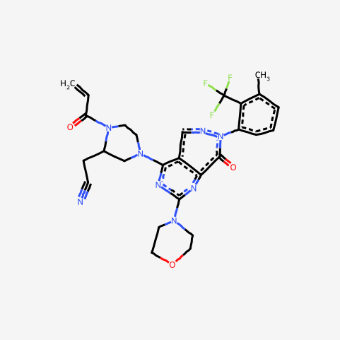 C=CC(=O)N1CCN(c2nc(N3CCOCC3)nc3c(=O)n(-c4cccc(C)c4C(F)(F)F)ncc23)CC1CC#N